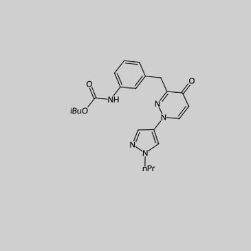 CCCn1cc(-n2ccc(=O)c(Cc3cccc(NC(=O)OCC(C)C)c3)n2)cn1